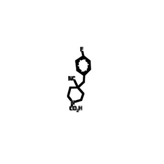 N#CC1(Cc2ccc(F)cc2)CCN(C(=O)O)CC1